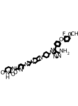 COc1cccc(Oc2ccc(-c3nn(C4CCC(N5CC6CN(C7CN(c8ccc(C(=O)NC9CCC(=O)NC9=O)nc8)C7)CC6C5)CC4)c4ncnc(N)c34)cc2)c1F